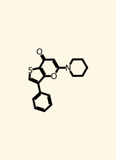 O=c1cc(N2CCCCC2)oc2c(-c3ccccc3)csc12